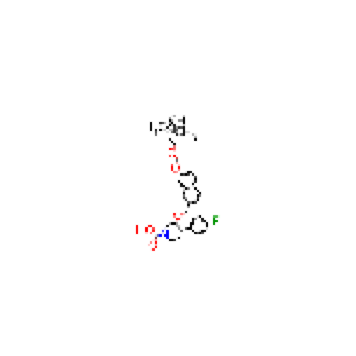 C[Si](C)(C)CCOCOc1ccc2ccc(COC3CN(C(=O)O)CCC3c3ccc(F)cc3)cc2c1